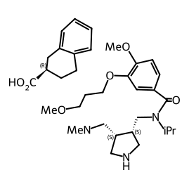 CNC[C@H]1CNC[C@H]1CN(C(=O)c1ccc(OC)c(OCCCOC)c1)C(C)C.O=C(O)[C@@H]1CCc2ccccc2C1